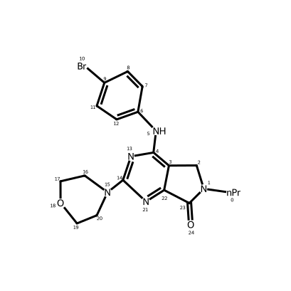 CCCN1Cc2c(Nc3ccc(Br)cc3)nc(N3CCOCC3)nc2C1=O